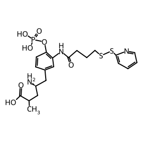 CC(C[C@@H](N)Cc1ccc(OP(=O)(O)O)c(NC(=O)CCCSSc2ccccn2)c1)C(=O)O